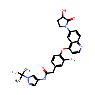 Cc1cc(CC(=O)Nc2cnn(C(C)(C)C)c2)ccc1Oc1ccnc2ccc(N3CCC(O)C3=O)cc12